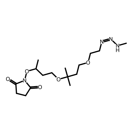 CN/N=N\CCOCCC(C)(C)OCCC(C)ON1C(=O)CCC1=O